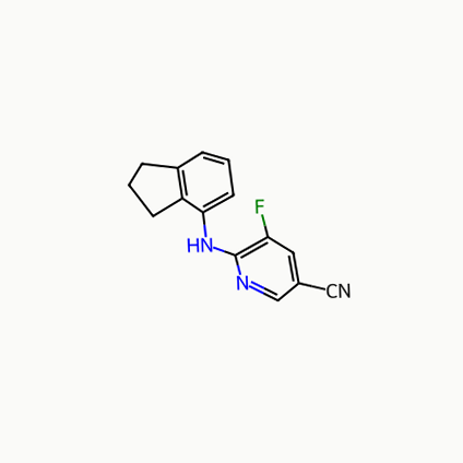 N#Cc1cnc(Nc2cccc3c2CCC3)c(F)c1